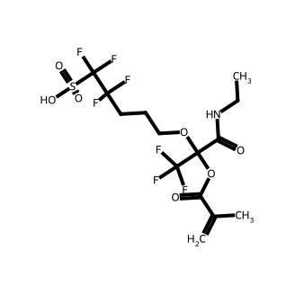 C=C(C)C(=O)OC(OCCCC(F)(F)C(F)(F)S(=O)(=O)O)(C(=O)NCC)C(F)(F)F